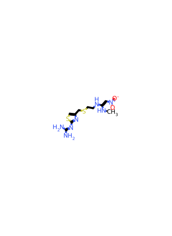 CN/C(=C\[N+](=O)[O-])NCCSCc1csc(N=C(N)N)n1